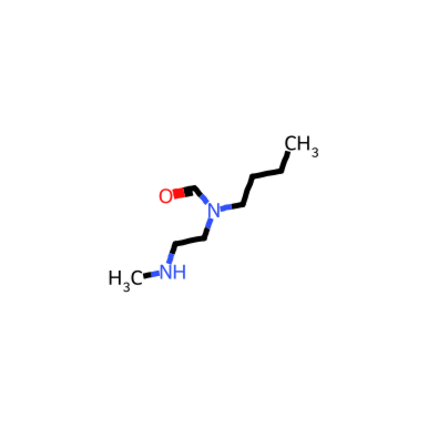 CCCCN(C=O)CCNC